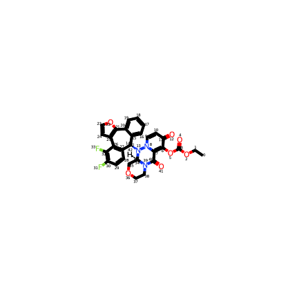 CCOC(=O)Oc1c2n(ccc1=O)N([C@@H]1c3ccccc3-c3occc3-c3c1ccc(F)c3F)[C@@H]1COCCN1C2=O